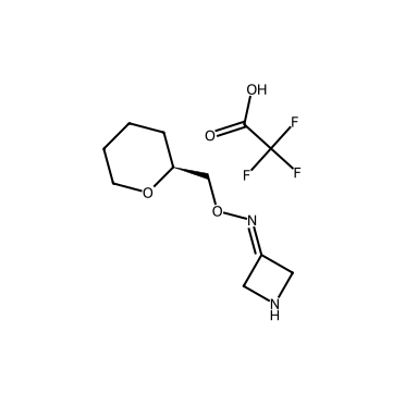 C1CC[C@@H](CON=C2CNC2)OC1.O=C(O)C(F)(F)F